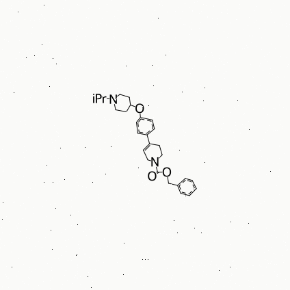 CC(C)N1CCC(Oc2ccc(C3=CCN(C(=O)OCc4ccccc4)CC3)cc2)CC1